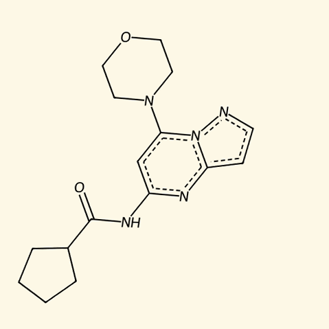 O=C(Nc1cc(N2CCOCC2)n2nccc2n1)C1CCCC1